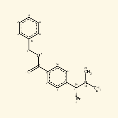 CC(C)[C@H](c1ccc(C(=O)OCc2ccccc2)cc1)N(C)C